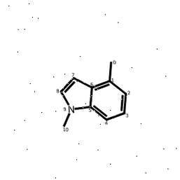 Cc1cccc2c1c[c]n2C